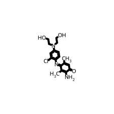 CC1=CC(=O)C(N)=C(C)C1=Nc1ccc(N(CCO)CCO)cc1Cl